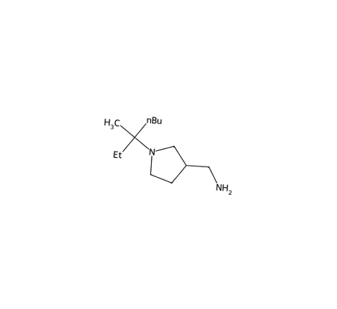 CCCCC(C)(CC)N1CCC(CN)C1